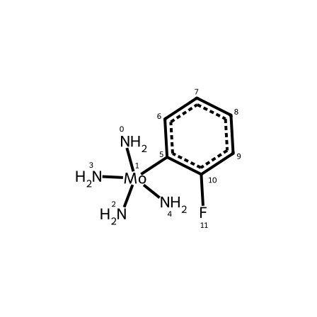 [NH2][Mo]([NH2])([NH2])([NH2])[c]1ccccc1F